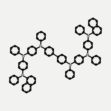 c1ccc(N(c2ccc(-c3ccc(N(c4ccccc4)c4ccc(N(c5ccccc5)c5ccc(N(c6ccccc6)c6cccc7ccccc67)cc5)cc4)cc3)cc2)c2ccc(N(c3ccccc3)c3ccc(N(c4ccccc4)c4cccc5ccccc45)cc3)cc2)cc1